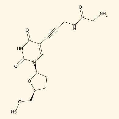 NCC(=O)NCC#Cc1cn([C@H]2CC[C@@H](COS)O2)c(=O)[nH]c1=O